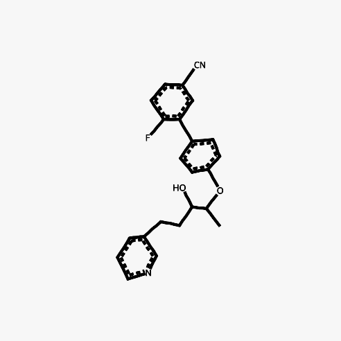 CC(Oc1ccc(-c2cc(C#N)ccc2F)cc1)C(O)CCc1cccnc1